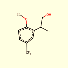 [CH2]C(CO)c1cc(C(F)(F)F)ccc1OCC